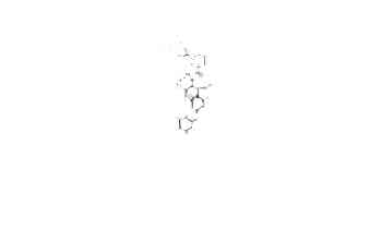 C=CC(=O)N1CCC[C@@H](Nc2ncnc(N)c2C(O)c2ccc(Oc3ccccc3)cc2)C1